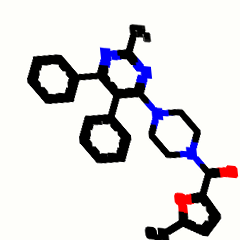 O=C(c1ccc([N+](=O)[O-])o1)N1CCN(c2nc(C(F)(F)F)nc(-c3ccccc3)c2-c2ccccc2)CC1